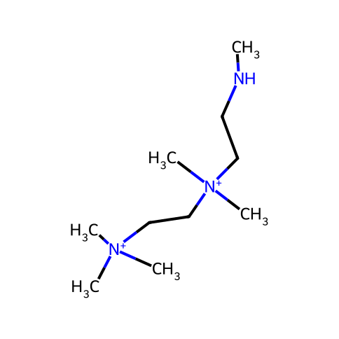 CNCC[N+](C)(C)CC[N+](C)(C)C